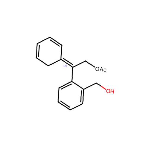 CC(=O)OC/C(=C1\C=CC=CC1)c1ccccc1CO